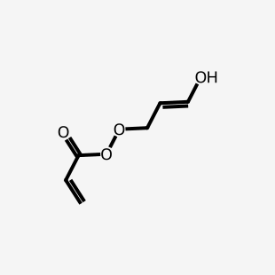 C=CC(=O)OOCC=CO